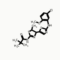 COc1ccc(Cl)cc1Nc1ncc(C2N=C(NC(=O)C(C)(C)C)SC2C)s1